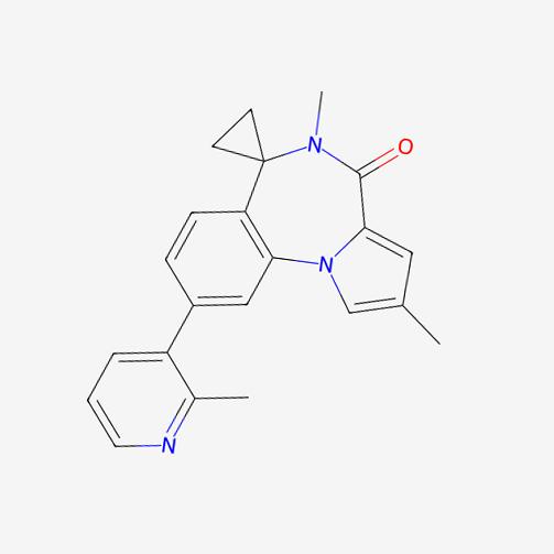 Cc1cc2n(c1)-c1cc(-c3cccnc3C)ccc1C1(CC1)N(C)C2=O